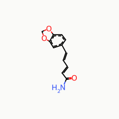 NC(=O)C=CC=Cc1ccc2c(c1)OCO2